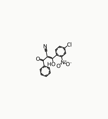 N#CC(C(=O)c1ccccc1)=C(O)c1ccc(Cl)cc1[N+](=O)[O-]